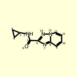 O=C(NC1CC1)c1nc2ccccn2n1